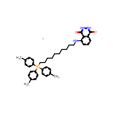 Cc1ccc([P+](CCCCCCCCCCNc2cccc3c(=O)[nH][nH]c(=O)c23)(c2ccc(C)cc2)c2ccc(C)cc2)cc1.[I-]